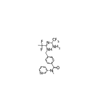 CN(C(=O)c1ccc(CN/C(=N\C(N)C(F)(F)F)C(C)(F)F)cc1)c1cccnc1